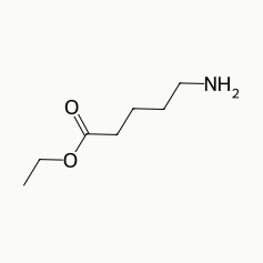 CCOC(=O)CCCCN